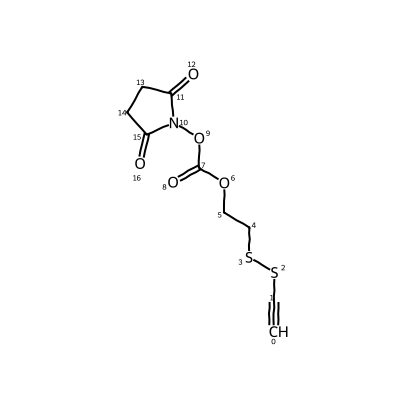 C#CSSCCOC(=O)ON1C(=O)CCC1=O